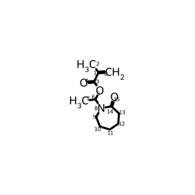 C=C(C)C(=O)OC(C)N1CCCCCC1=O